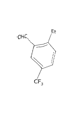 CCc1ccc(C(F)(F)F)cc1[C]=O